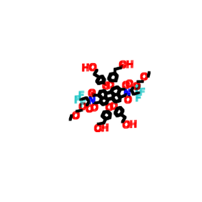 CCOCCOC(=O)C(CC(F)(F)F)N1C(=O)c2cc(Oc3ccc(CCO)cc3)c3c4c(Oc5ccc(CCO)cc5)cc5c6c(cc(Oc7ccc(CCO)cc7)c(c7c(Oc8ccc(CCO)cc8)cc(c2c37)C1=O)c64)C(=O)N(C(CC(F)(F)F)C(=O)OCCOCC)C5=O